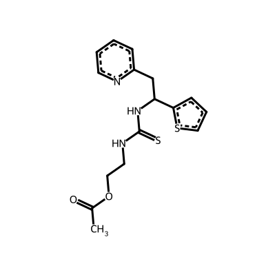 CC(=O)OCCNC(=S)NC(Cc1ccccn1)c1cccs1